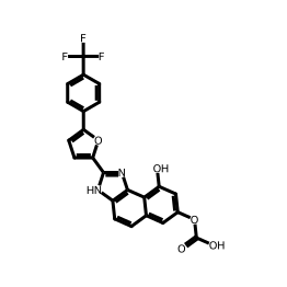 O=C(O)Oc1cc(O)c2c(ccc3[nH]c(-c4ccc(-c5ccc(C(F)(F)F)cc5)o4)nc32)c1